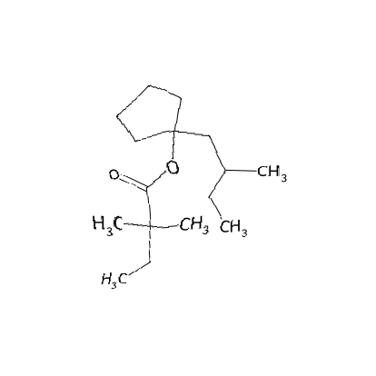 CCC(C)CC1(OC(=O)C(C)(C)CC)CCCC1